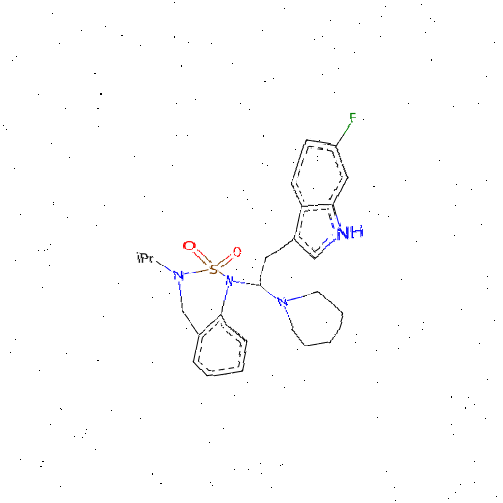 CC(C)N1Cc2ccccc2N(C(Cc2c[nH]c3cc(F)ccc23)N2CCCCC2)S1(=O)=O